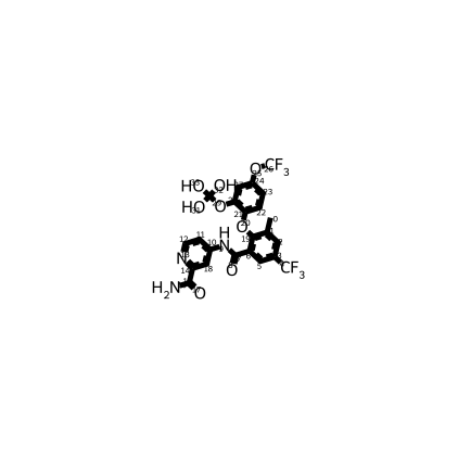 Cc1cc(C(F)(F)F)cc(C(=O)Nc2ccnc(C(N)=O)c2)c1Oc1ccc(OC(F)(F)F)cc1OC(O)(O)O